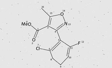 COC(=O)c1c(C2=C(Cl)CCC=C2F)noc1C